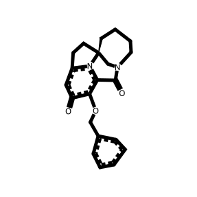 O=C1c2c(OCc3ccccc3)c(=O)cc3n2[C@]2(CCCCN1C2)CC3